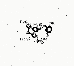 CCOc1ccc(Br)cc1CN(C)Cc1cccc(-n2ncc(C(=O)O)c2C2CC2c2cn(C)nn2)c1.O=C(O)C(F)(F)F